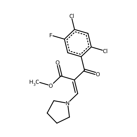 COC(=O)C(=CN1CCCC1)C(=O)c1cc(F)c(Cl)cc1Cl